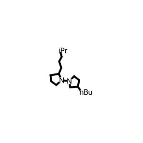 CCCCC1CCN(N2CCCC2CCCC(C)C)C1